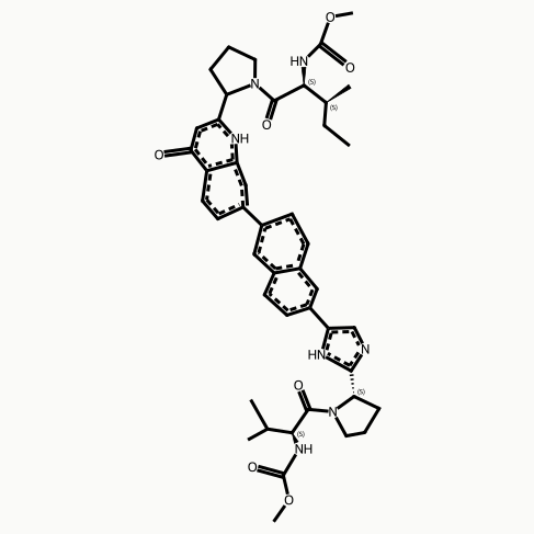 CC[C@H](C)[C@H](NC(=O)OC)C(=O)N1CCCC1c1cc(=O)c2ccc(-c3ccc4cc(-c5cnc([C@@H]6CCCN6C(=O)[C@@H](NC(=O)OC)C(C)C)[nH]5)ccc4c3)cc2[nH]1